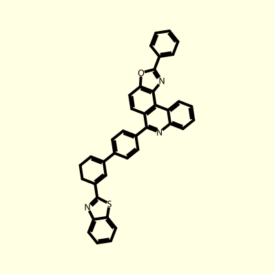 C1=C(c2ccc(-c3nc4ccccc4c4c3ccc3oc(-c5ccccc5)nc34)cc2)C=C(c2nc3ccccc3s2)CC1